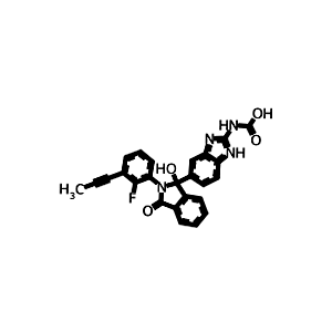 CC#Cc1cccc(N2C(=O)c3ccccc3C2(O)c2ccc3[nH]c(NC(=O)O)nc3c2)c1F